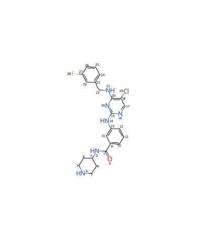 O=C(NC1CCNCC1)c1cccc(Nc2ncc(Cl)c(NCc3cccc(F)c3)n2)c1